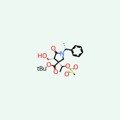 CC(OS(C)(=O)=O)[C@@]1(C(=O)OC(C)(C)C)CN([C@H](C)c2ccccc2)C(=O)[C@H]1CO